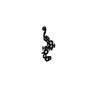 Cc1cc(Nc2ncnc3ccc(N4CCN(CC#CC=O)CC4)nc23)ccc1O[C@H]1CCCOC1